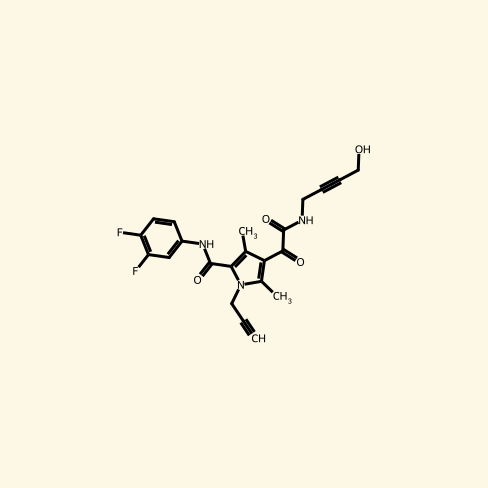 C#CCn1c(C)c(C(=O)C(=O)NCC#CCO)c(C)c1C(=O)Nc1ccc(F)c(F)c1